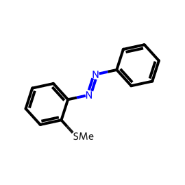 CSc1ccccc1N=Nc1ccccc1